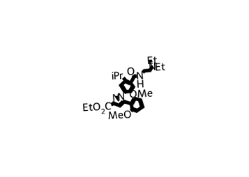 CCOC(=O)c1cc(-c2c(OC)cccc2OC)n(-c2ccc(C(=O)NCCN(CC)CC)c(C(C)C)c2)n1